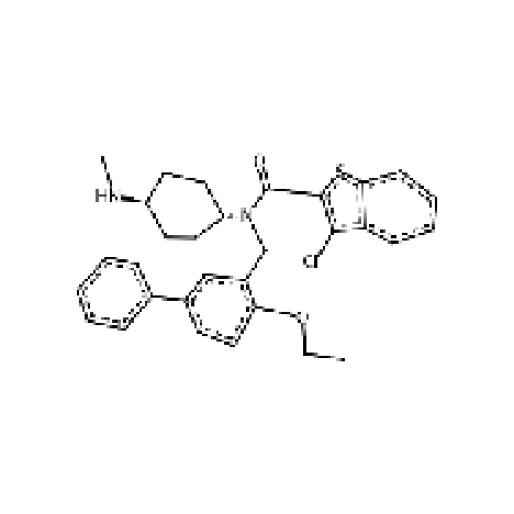 CCOc1ccc(-c2ccccc2)cc1CN(C(=O)c1sc2ccccc2c1Cl)[C@H]1CC[C@H](NC)CC1